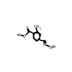 CO/N=C/c1ccc(C(=O)OC(C)(C)C)c(C)c1